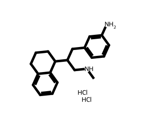 CNCC(Cc1cccc(N)c1)C1CCCc2ccccc21.Cl.Cl